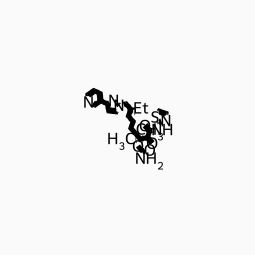 CC[C@@H](CCCC(C)(C)[C@H](OC(N)=O)C(=O)C(=O)Nc1nccs1)Cn1ccc(-c2cccnc2)n1